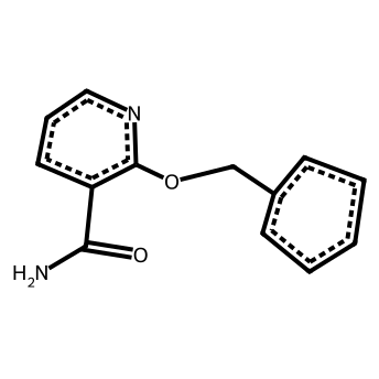 NC(=O)c1cccnc1OCc1ccccc1